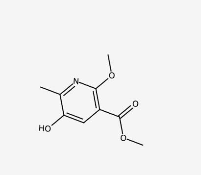 COC(=O)c1cc(O)c(C)nc1OC